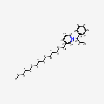 CCCCCCCCCCCCCCCc1ccc[n+](C(CC)c2ccccc2)c1